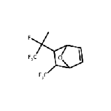 CC(F)(C1C2C=CC(O2)C1C(F)(F)F)C(F)(F)F